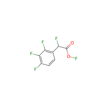 O=C(OF)C(F)c1ccc(F)c(F)c1F